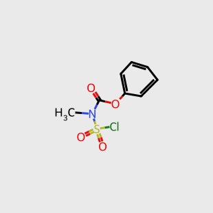 CN(C(=O)Oc1ccccc1)S(=O)(=O)Cl